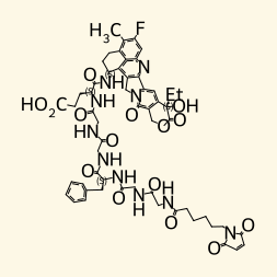 CC[C@@]1(O)C(=O)OCc2c1cc1n(c2=O)Cc2c-1nc1cc(F)c(C)c3c1c2[C@@H](NC(=O)[C@H](CCC(=O)O)NC(=O)CNC(=O)CNC(=O)[C@H](Cc1ccccc1)NC(=O)CNC(=O)CNC(=O)CCCCCN1C(=O)C=CC1=O)CC3